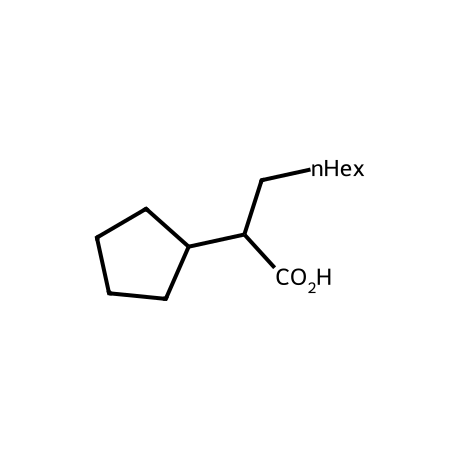 CCCCCCCC(C(=O)O)C1CCCC1